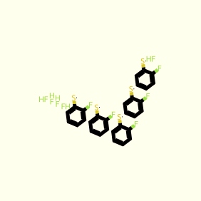 F.F.F.F.F.Fc1ccccc1[S].Fc1ccccc1[S].Fc1ccccc1[S].Fc1ccccc1[S].Fc1ccccc1[S]